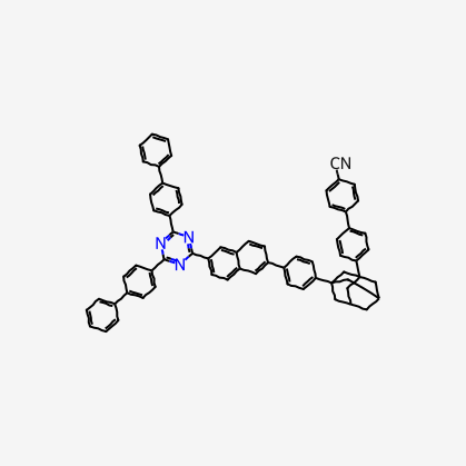 N#Cc1ccc(-c2ccc(C34CC5CC(C3)CC(c3ccc(-c6ccc7cc(-c8nc(-c9ccc(-c%10ccccc%10)cc9)nc(-c9ccc(-c%10ccccc%10)cc9)n8)ccc7c6)cc3)(C5)C4)cc2)cc1